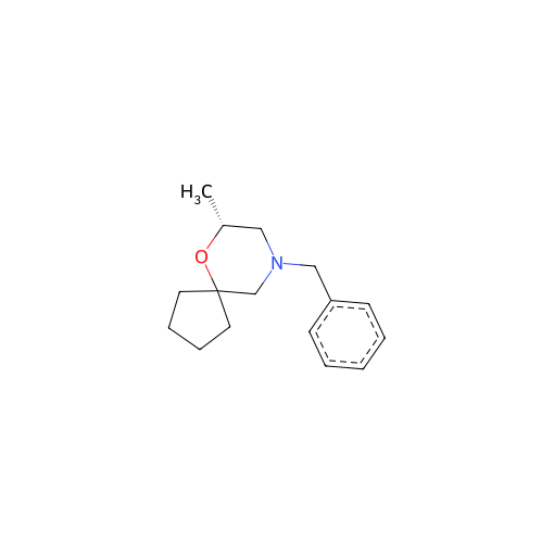 C[C@@H]1CN(Cc2ccccc2)CC2(CCCC2)O1